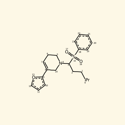 CC(C)CCC(N1CCC=C(c2ccco2)C1)S(=O)(=O)c1ccccc1